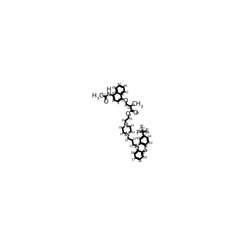 CC(=O)Nc1ccc(OCC(C)C(=O)OCCN2CCN(CCCN3c4ccccc4Sc4ccc(C(F)(F)F)cc43)CC2)c2ccccc12